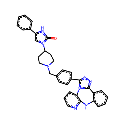 O=c1[nH]c(-c2ccccc2)cn1C1CCN(Cc2ccc(-c3nnc4n3-c3cccnc3Nc3ccccc3-4)cc2)CC1